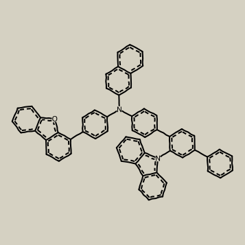 c1ccc(-c2ccc(-c3ccc(N(c4ccc(-c5cccc6c5oc5ccccc56)cc4)c4ccc5ccccc5c4)cc3)c(-n3c4ccccc4c4ccccc43)c2)cc1